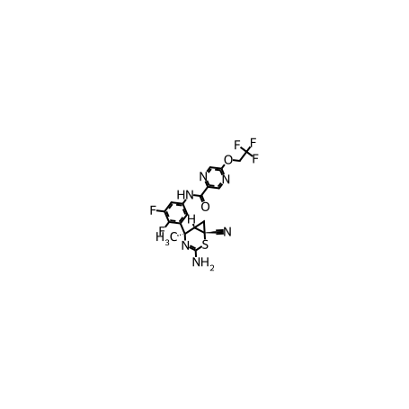 C[C@@]1(c2cc(NC(=O)c3cnc(OCC(F)(F)F)cn3)cc(F)c2F)N=C(N)S[C@@]2(C#N)C[C@@H]12